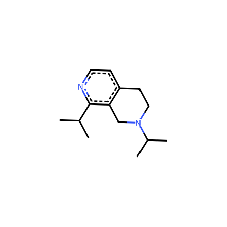 CC(C)c1nccc2c1CN(C(C)C)CC2